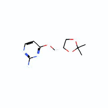 CC1(C)OC[C@@H](COc2ccnc(N)n2)O1